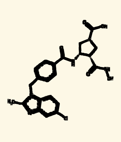 Cc1nc2cc(Cl)ccc2n1Cc1ccc(C(=O)N[C@@H]2CN(C(=O)O)C[C@@H]2C(=O)NO)cc1